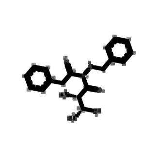 C[C@@H](O)[C@H](N)C(=O)N(OCc1ccccc1)C(=O)Cc1ccccc1